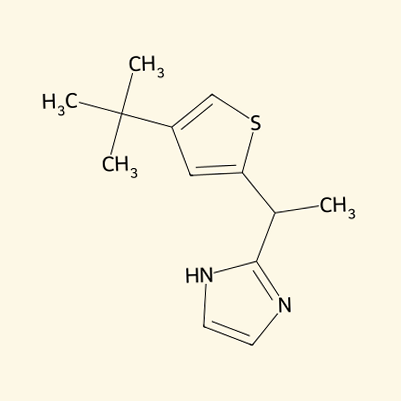 CC(c1ncc[nH]1)c1cc(C(C)(C)C)cs1